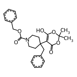 CC1(C)OC(=O)C(C2(Cc3ccccc3)CCN(C(=O)OCc3ccccc3)CC2)=C(O)O1